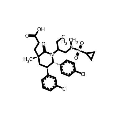 CCC(CN(C)S(=O)(=O)C1CC1)N1C(=O)[C@@](C)(CCC(=O)O)C[C@H](c2cccc(Cl)c2)[C@H]1c1ccc(Cl)cc1